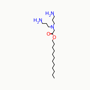 CCCCCCCCCCCCOC(=O)CN(CCCN)CCCN